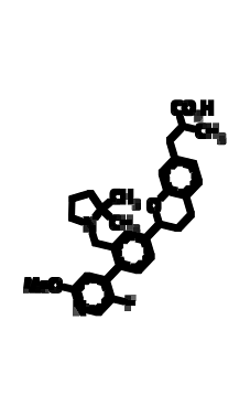 COc1cc(-c2ccc(C3CCc4ccc(CC(C)C(=O)O)cc4O3)cc2CN2CCCC2(C)C)c(F)cn1